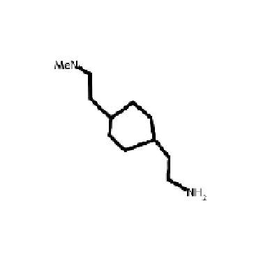 CNCCC1CCC(CCN)CC1